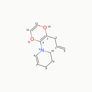 C=CCC1=C(N2C=CCCC2)OC=CO1